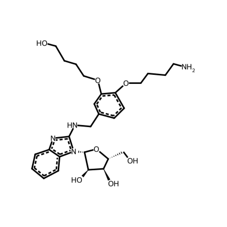 NCCCCOc1ccc(CNc2nc3ccccc3n2[C@@H]2O[C@H](CO)[C@@H](O)[C@H]2O)cc1OCCCCO